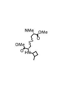 CN[C@@H](CSSC[C@@H](NC1CCC1C)C(=O)OC)C(=O)OC